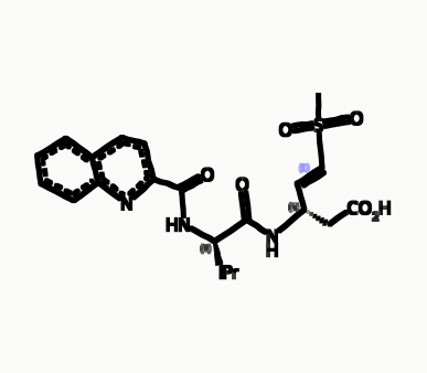 CC(C)[C@@H](NC(=O)c1ccc2ccccc2n1)C(=O)N[C@H](/C=C/S(C)(=O)=O)CC(=O)O